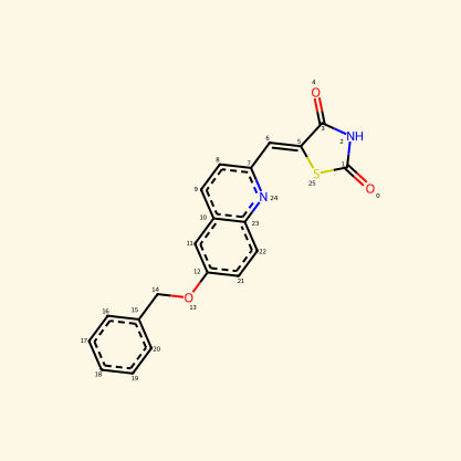 O=C1NC(=O)C(=Cc2ccc3cc(OCc4ccccc4)ccc3n2)S1